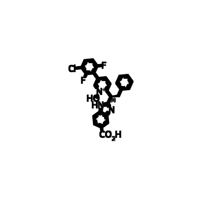 O=C(O)c1ccc2[nH]c([C@H](Cc3ccccc3)c3ccc(-c4c(F)ccc(Cl)c4F)c[n+]3O)nc2c1